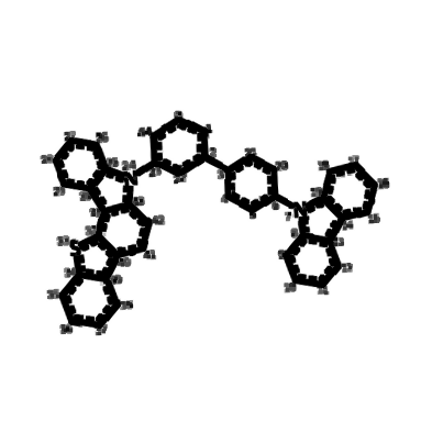 c1cc(-c2ccc(-n3c4ccccc4c4ccccc43)cc2)cc(-n2c3ccccc3c3c4sc5ccccc5c4ccc32)c1